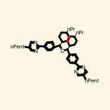 CCCCCc1cnc(-c2ccc(C(OC(c3ccc(-c4ncc(CCCCC)cn4)cc3)[C@H]3CC[C@H](CCC)CC3)[C@H]3CC[C@H](CCC)CC3)cc2)nc1